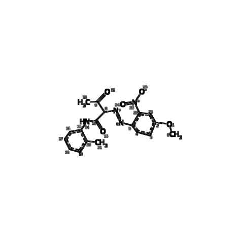 COc1ccc(/N=N/C(C(C)=O)C(=O)Nc2ccccc2C)c([N+](=O)[O-])c1